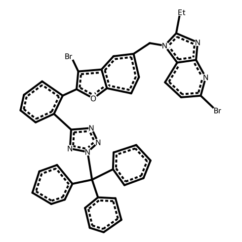 CCc1nc2nc(Br)ccc2n1Cc1ccc2oc(-c3ccccc3-c3nnn(C(c4ccccc4)(c4ccccc4)c4ccccc4)n3)c(Br)c2c1